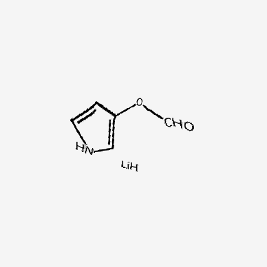 O=COc1cc[nH]c1.[LiH]